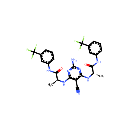 C[C@H](Nc1nc(N)nc(N[C@@H](C)C(=O)Nc2cccc(C(F)(F)F)c2)c1C#N)C(=O)Nc1cccc(C(F)(F)F)c1